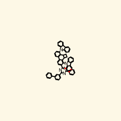 c1ccc(-c2cccc(-c3nc(-c4ccccc4)nc(-c4ccc5c(c4-n4c6ccccc6c6ccccc64)C4CCC4c4c-5cccc4-n4c5ccccc5c5ccccc54)n3)c2)cc1